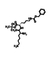 CC(C)(C)OC(=O)[C@H](CCCCNC(=O)OCc1ccccc1)NC(=O)[C@@H](N)CCCCN